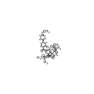 CCN1CCN(c2ccc(C(=O)N[C@@H](CC(C)(C)C)C(=O)N3C[C@H](C(C)(C)C)[C@H]4OCC(=O)[C@H]43)cc2)CC1